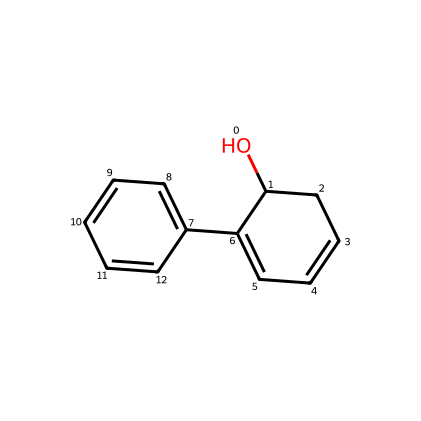 OC1CC=CC=C1c1ccccc1